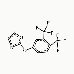 FC(F)(F)c1ccc(Oc2nc[c]o2)cc1C(F)(F)F